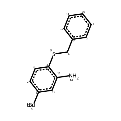 CC(C)(C)c1ccc(SCc2ccccc2)c(N)c1